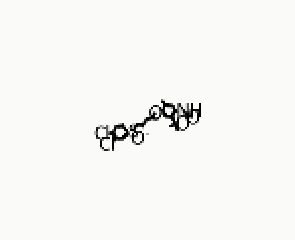 Cc1cc2c(cc1OCCCC[S+]([O-])c1ccc(Cl)c(Cl)c1)C(C)(C)OC(=O)N2